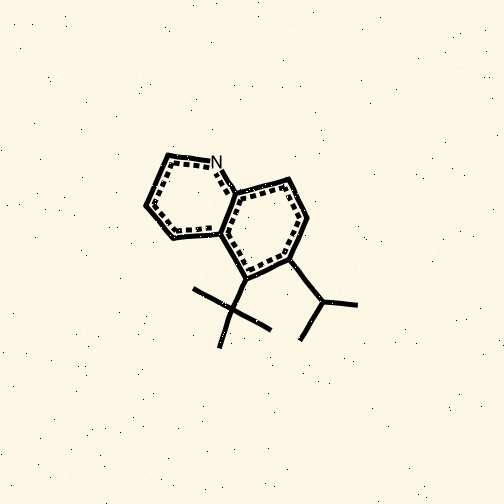 CC(C)c1ccc2ncccc2c1C(C)(C)C